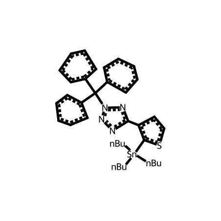 CCC[CH2][Sn]([CH2]CCC)([CH2]CCC)[c]1sccc1-c1nnn(C(c2ccccc2)(c2ccccc2)c2ccccc2)n1